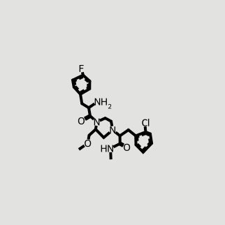 CNC(=O)C(Cc1ccccc1Cl)N1CCN(C(=O)C(N)Cc2ccc(F)cc2)C(COC)C1